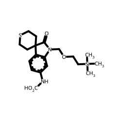 C[Si](C)(C)CCOCN1C(=O)C2(CCSCC2)c2ccc(NC(=O)O)cc21